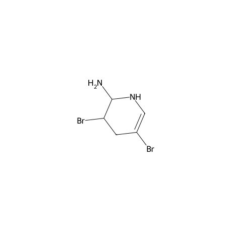 NC1NC=C(Br)CC1Br